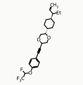 C=CC(CC)[C@H]1CC[C@H](C2COC(C#Cc3ccc(OC(F)C(F)(F)F)cc3)CO2)CC1